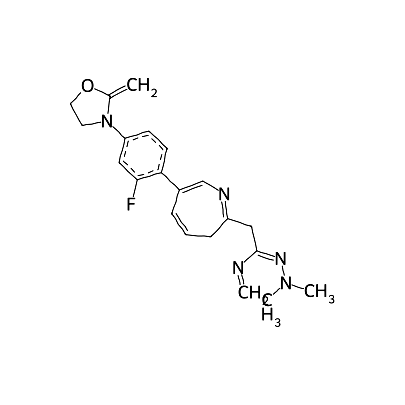 C=N/C(CC1=NC=C(c2ccc(N3CCOC3=C)cc2F)C=CC1)=N\N(C)C